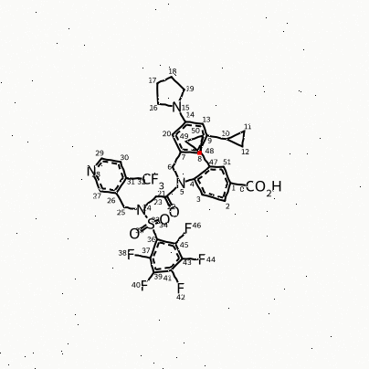 O=C(O)c1ccc(N(Cc2cc(C3CC3)cc(N3CCCC3)c2)C(=O)CN(Cc2cnccc2C(F)(F)F)S(=O)(=O)c2c(F)c(F)c(F)c(F)c2F)c(C2CC2)c1